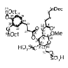 CCCCCCCCCCCCCC(=O)N[C@H]1[C@@H](OC)O[C@H](COS(=O)(=O)O)[C@@H](OS(=O)(=O)O)[C@@H]1OC(=O)CCc1ccc(OCCCCCCCC)c(OCCCCCCCC)c1